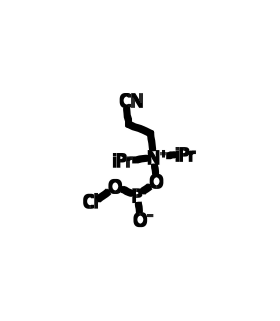 CC(C)[N+](CCC#N)(OP([O-])OCl)C(C)C